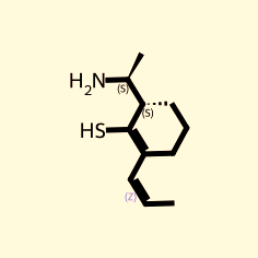 C/C=C\C1=C(S)[C@H]([C@H](C)N)CCC1